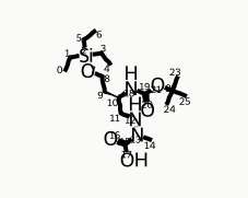 CC[Si](CC)(CC)OCC[C@H](CNN(C)C(=O)O)NC(=O)OC(C)(C)C